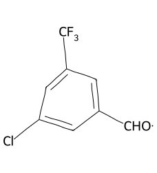 O=[C]c1cc(Cl)cc(C(F)(F)F)c1